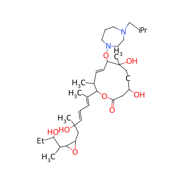 CCC(O)C(C)C1OC1CC(C)(O)/C=C/C=C(\C)C1OC(=O)CC(O)CCC(C)(O)C(ON2CCCN(CC(C)C)CC2)/C=C/C1C